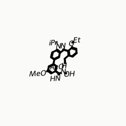 CCOc1cccc(CCOC(C)=O)c1-c1nn(C(C)C)c2ccc(-c3cc(OC)cc(C(=N)NO)c3)cc12